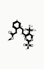 COC(=O)Cc1ccccc1CCc1nc(S(C)(=O)=O)ncc1C(F)(F)F